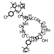 Cc1ncsc1-c1ccc([C@H]2CC(=O)NCC(=O)N[C@H](CNC(=O)C[C@@H]3N=C(c4ccc(Cl)cc4)c4c(sc(C)c4C)-n4c(C)nnc43)C(=O)NCCOCC(=O)N[C@@H](C(C)(C)C)C(=O)N3C[C@H](O)C[C@H]3C(=O)N2)cc1